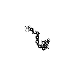 CC(CC1CCC(C)N1c1ccc(N2CCN(CC3CCN(c4cccc5c4C(=O)N(C4CCC(=O)NC4=O)C5=O)CC3)CC2)cc1)Oc1ccc(C#N)c(Cl)c1